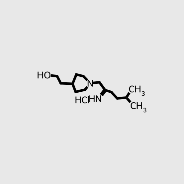 CC(C)CCC(=N)CN1CCC(CCO)CC1.Cl